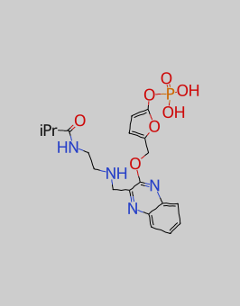 CC(C)C(=O)NCCNCc1nc2ccccc2nc1OCc1ccc(OP(=O)(O)O)o1